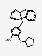 CCC1C=CC=CC1(Cc1ccc(OC)c(OC2CCCC2)c1)c1ccncc1